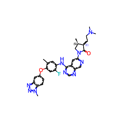 Cc1cc(Nc2ncnc3cnc(N4C[C@@H](C)/C(=C\CN(C)C)C4=O)cc23)c(F)cc1Oc1ccc2c(c1)nnn2C